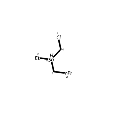 CCC[CH2][SnH]([CH2]C)[CH2]Cl